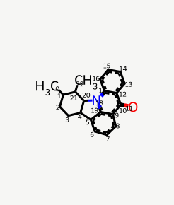 CC1CCC2c3cccc4c(=O)c5ccccc5n(c34)C2C1C